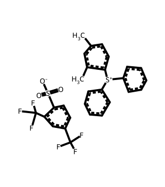 Cc1ccc([S+](c2ccccc2)c2ccccc2)c(C)c1.O=S(=O)([O-])c1ccc(C(F)(F)F)cc1C(F)(F)F